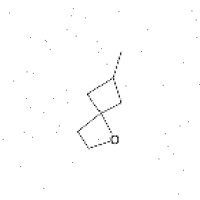 CC1CC2(CCO2)C1